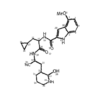 COc1cccc2[nH]c(C(=O)NC(CC3CC3)C(=O)NC(C#N)CC3CCCNC3O)cc12